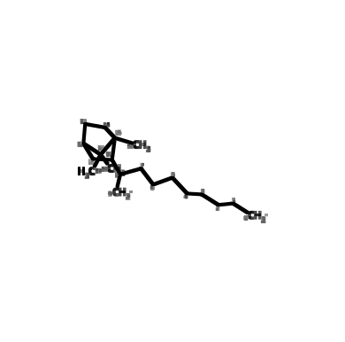 [CH2]CCCCCCCC([CH2])C1CC2CCC1(C)C2(C)C